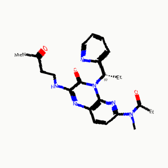 CCC(=O)N(C)c1ccc2nc(NCCC(=O)NC)c(=O)n([C@@H](CC)c3ccccn3)c2n1